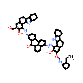 CCc1ccccc1NCOc1cc2ccc3c4ccccc4[nH]c3c2c(N=Nc2ccc3c4c(cccc24)C(=O)c2cc(N=Nc4c(O)c(C=O)cc5ccc6c7ccccc7[nH]c6c45)ccc2-3)c1O